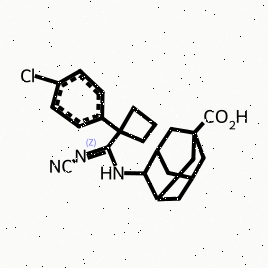 N#C/N=C(\NC1C2CC3CC1CC(C(=O)O)(C3)C2)C1(c2ccc(Cl)cc2)CCC1